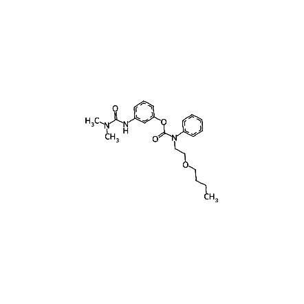 CCCCOCCN(C(=O)Oc1cccc(NC(=O)N(C)C)c1)c1ccccc1